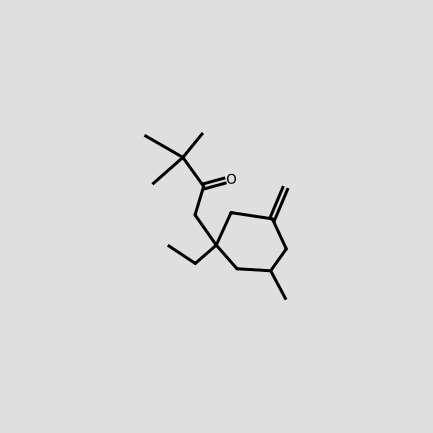 C=C1CC(C)CC(CC)(CC(=O)C(C)(C)C)C1